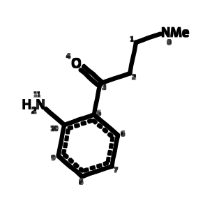 CNCCC(=O)c1ccccc1N